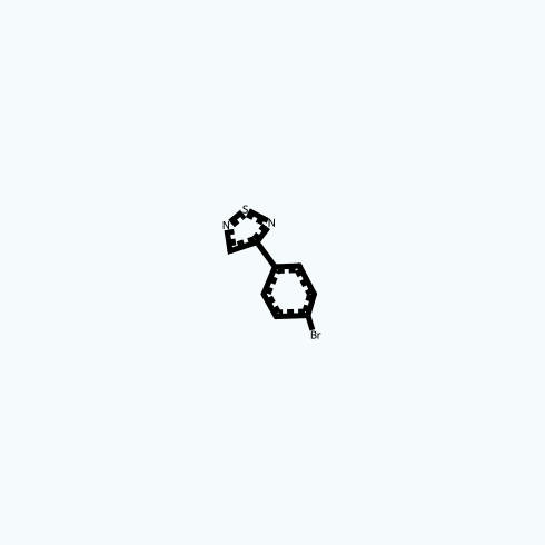 Brc1ccc(-c2cnsn2)cc1